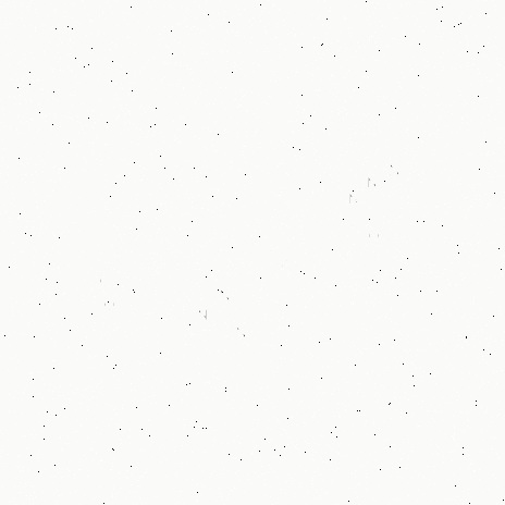 CC(CC(=O)N=[N+]=[N-])c1ccc(-c2ncn(-c3ccc(OC(F)(F)F)cc3)n2)cc1